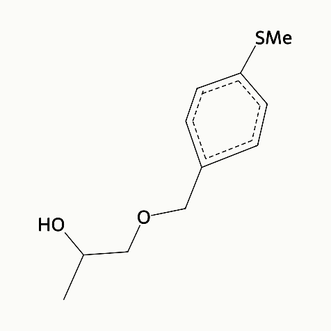 CSc1ccc(COCC(C)O)cc1